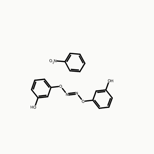 O=[N+]([O-])c1ccccc1.Oc1cccc(ON=NOc2cccc(O)c2)c1